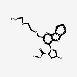 CCOC(=O)COCCOCc1nc(N2C[C@@H](O)C[C@H]2C(=O)OC(C)(C)C)c2oc3ccccc3c2n1